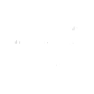 CCCOC(=O)OC(C)C(C)C